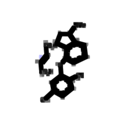 CNC1CCc2c(Oc3cc(Cl)ccc3C#N)cccc21.O=C(O)/C=C/C(=O)O